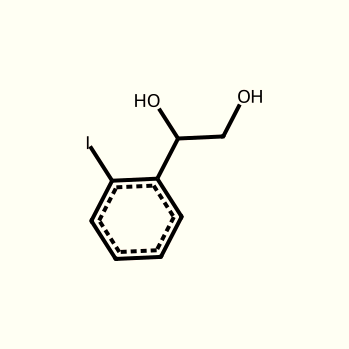 OCC(O)c1ccccc1I